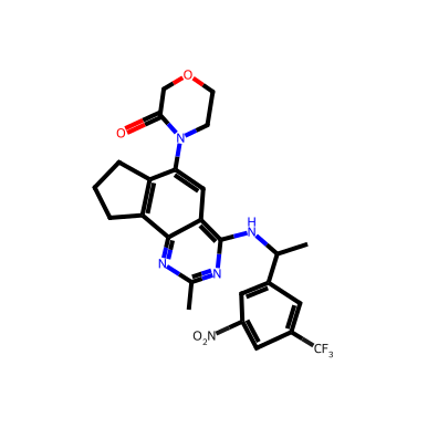 Cc1nc(NC(C)c2cc([N+](=O)[O-])cc(C(F)(F)F)c2)c2cc(N3CCOCC3=O)c3c(c2n1)CCC3